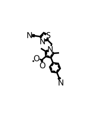 COC(=O)c1c(-c2ccc(C#N)cc2)c(C)n(Cc2nc(C#N)cs2)c1C